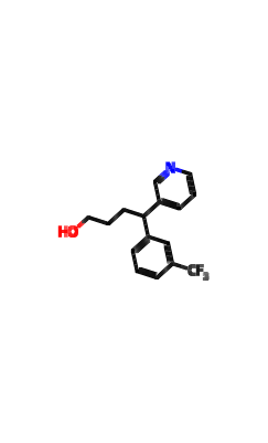 OCCCC(c1cccnc1)c1cccc(C(F)(F)F)c1